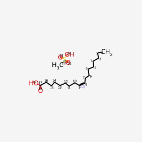 CCCCCCCC/C=C\CCCCCCCC(=O)O.CS(=O)(=O)O